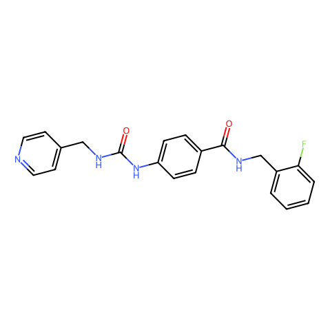 O=C(NCc1ccncc1)Nc1ccc(C(=O)NCc2ccccc2F)cc1